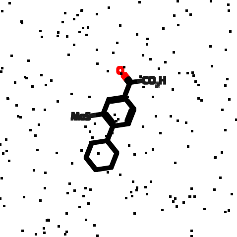 CSc1cc(C(=O)C(=O)O)ccc1C1CCCCC1